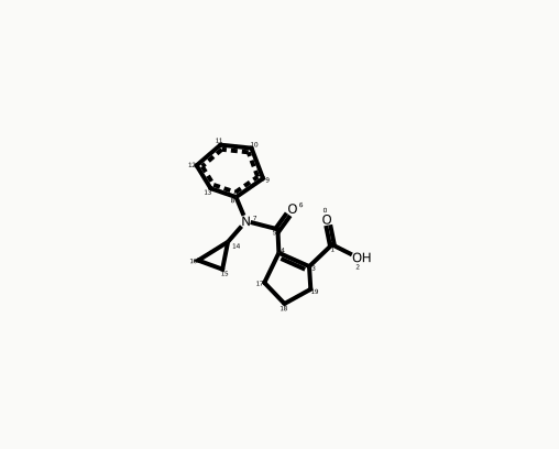 O=C(O)C1=C(C(=O)N(c2ccccc2)C2CC2)CCC1